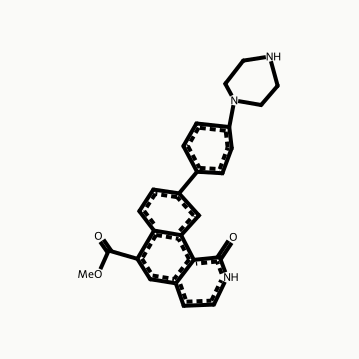 COC(=O)c1cc2cc[nH]c(=O)c2c2cc(-c3ccc(N4CCNCC4)cc3)ccc12